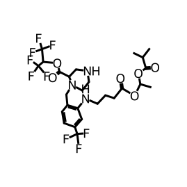 CC(OC(=O)CCCNc1cc(C(F)(F)F)ccc1CN1CCNCC1C(=O)OC(C(F)(F)F)C(F)(F)F)OC(=O)C(C)C